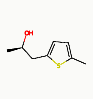 Cc1ccc(C[C@@H](C)O)s1